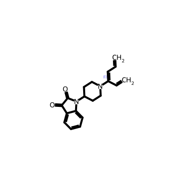 C=C/C=C(\C=C)N1CCC(N2C(=O)C(=O)c3ccccc32)CC1